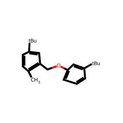 Cc1ccc(C(C)(C)C)cc1COc1cccc(C(C)(C)C)c1